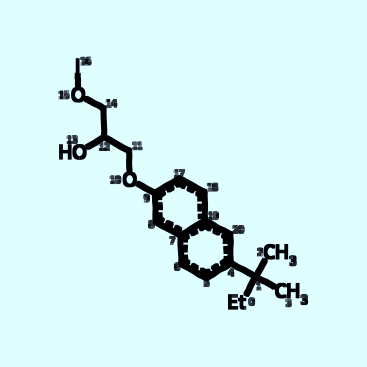 CCC(C)(C)c1ccc2cc(OCC(O)COI)ccc2c1